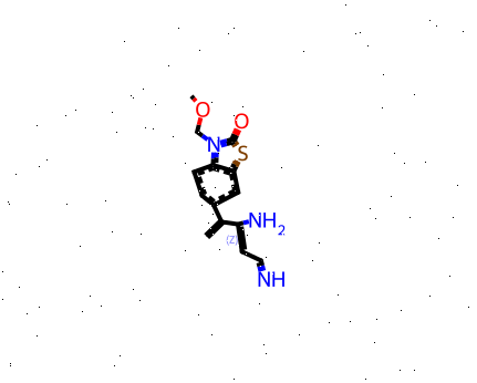 C=C(/C(N)=C/C=N)c1ccc2c(c1)sc(=O)n2COC